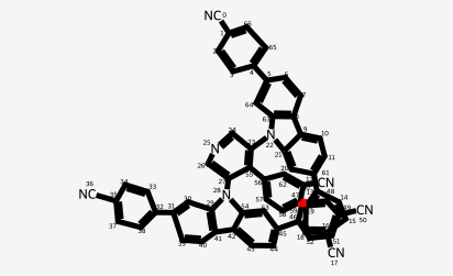 N#Cc1ccc(-c2ccc3c4ccc(-c5ccc(C#N)cc5)cc4n(-c4cncc(-n5c6cc(-c7ccc(C#N)cc7)ccc6c6ccc(-c7ccc(C#N)cc7)cc65)c4-c4cccc(C#N)c4)c3c2)cc1